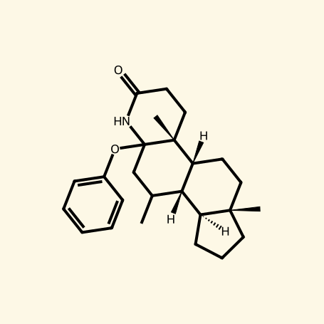 CC1CC2(Oc3ccccc3)NC(=O)CC[C@]2(C)[C@@H]2CC[C@]3(C)CCC[C@H]3[C@H]12